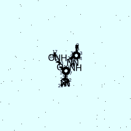 C#Cc1ccc2nc(Nc3cc(OCCNC(C)=O)cc(-c4cnn(C)c4)c3)ncc2c1